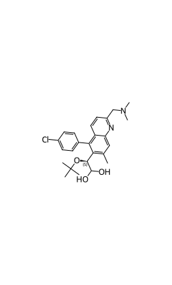 Cc1cc2nc(CN(C)C)ccc2c(-c2ccc(Cl)cc2)c1[C@H](OC(C)(C)C)C(O)O